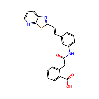 O=C(Cc1ccccc1C(=O)O)Nc1cccc(C=Cc2nc3cccnc3s2)c1